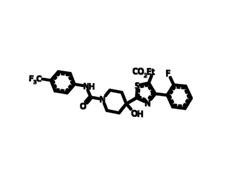 CCOC(=O)c1sc(C2(O)CCN(C(=O)Nc3ccc(C(F)(F)F)cc3)CC2)nc1-c1ccccc1F